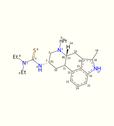 CCCN1C[C@@H](NC(=S)N(CC)CC)CC2c3cccc4[nH]c(C)c(c34)C[C@H]21